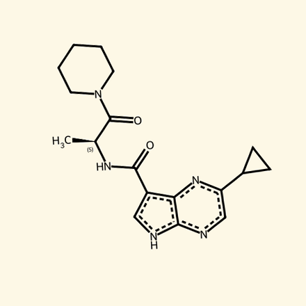 C[C@H](NC(=O)c1c[nH]c2ncc(C3CC3)nc12)C(=O)N1CCCCC1